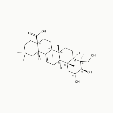 CC1(C)CC[C@]2(C(=O)O)CC[C@]3(C)C(=CC[C@@H]4[C@@]5(C)C[C@@H](O)[C@H](O)[C@](C)(CO)[C@@H]5CC[C@]43C)[C@@H]2C1